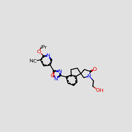 CC(C)Oc1ncc(-c2nc(-c3cccc4c3CCC43CC(=O)N(CCO)C3)no2)cc1C#N